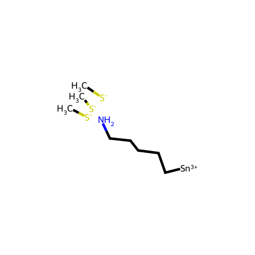 C[S-].C[S-].C[S-].NCCCC[CH2][Sn+3]